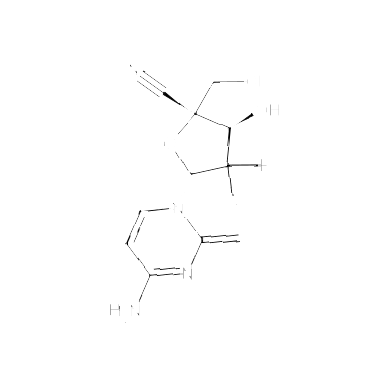 C=C1N=C(N)C=CN1[C@@H]1O[C@](C#N)(CO)[C@@H](O)C1(F)F